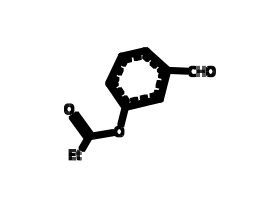 CCC(=O)Oc1cccc(C=O)c1